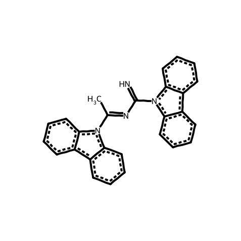 C/C(=N\C(=N)n1c2ccccc2c2ccccc21)n1c2ccccc2c2ccccc21